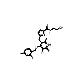 Cc1[nH]c(=O)c(Br)c(OCc2ccc(F)cc2F)c1Cc1ccc(C(=O)NCCO)o1